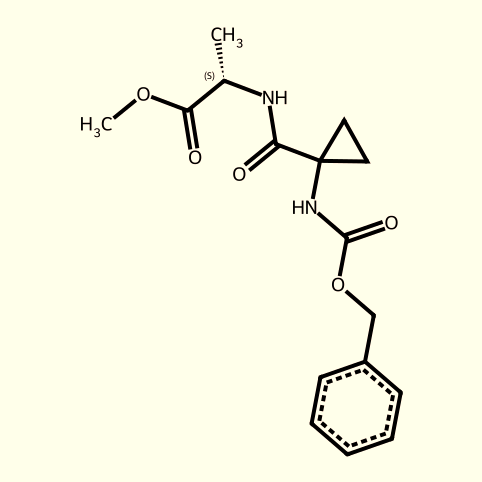 COC(=O)[C@H](C)NC(=O)C1(NC(=O)OCc2ccccc2)CC1